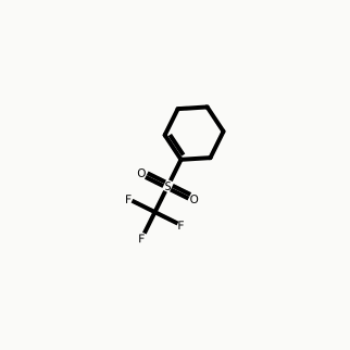 O=S(=O)(C1=CCCCC1)C(F)(F)F